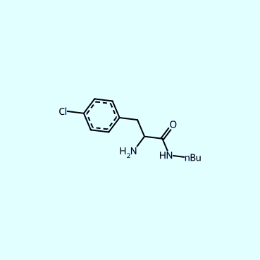 CCCCNC(=O)C(N)Cc1ccc(Cl)cc1